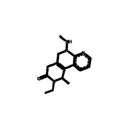 CCN1C(=O)CC2=C(c3cccnc3N(NC)C2)C1C